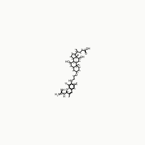 CC(=Cc1cc(F)c(NCCOC2CCC3(C)C(C2)CC(O)C2C3CC(O)C3(C)C(C(C)CCC(=O)O)CCC23)c(F)c1)C(=O)NC(=N)N